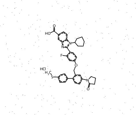 CSc1ccc(-c2ccc(N3CCCC3=O)cc2COc2ccc(-c3nc4cc(C(=O)O)ccc4n3C3CCCCC3)c(F)c2)cc1.Cl